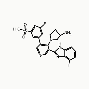 CS(=O)(=O)c1cc(F)cc(-c2cncc(-c3nc4c(F)cccc4[nH]3)c2N2CCC(N)C2)c1